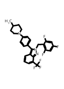 CC1CCN(c2ccc(-c3c4cccc(C(F)(F)F)c4nn3Cc3c(F)cc(F)cc3F)cc2)CC1